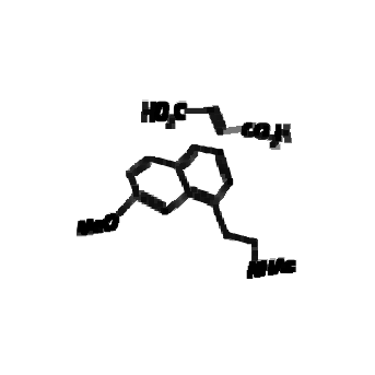 COc1ccc2cccc(CCNC(C)=O)c2c1.O=C(O)C=CC(=O)O